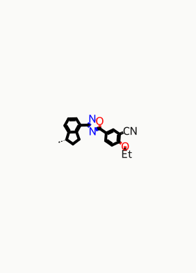 CCOc1ccc(-c2nc(-c3cccc4c3CC[C@@H]4C)no2)cc1C#N